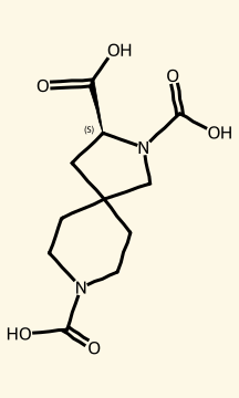 O=C(O)[C@@H]1CC2(CCN(C(=O)O)CC2)CN1C(=O)O